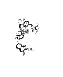 Nc1nc2cc(C[C@@H]3CC[C@@]4(O)[C@@H]3OC[C@@]4(O)n3cc(F)c4c(N)nc(COC(=O)C(F)(F)F)nc43)ccc2cc1F